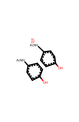 CC(=O)Nc1ccc(O)cc1.CC(=O)Nc1ccc(O)cc1.O